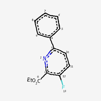 CCOC(=O)c1nc(-c2ccccc2)ccc1F